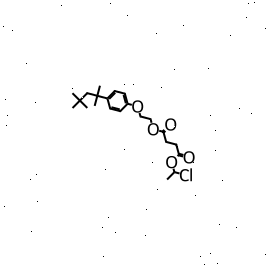 CC(Cl)OC(=O)CCC(=O)OCCOc1ccc(C(C)(C)CC(C)(C)C)cc1